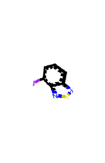 Ic1cccc2nsnc12